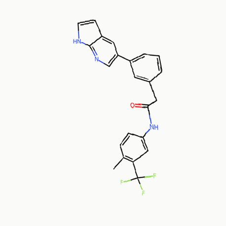 Cc1ccc(NC(=O)Cc2cccc(-c3cnc4[nH]ccc4c3)c2)cc1C(F)(F)F